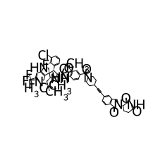 COc1cc(C(=O)N2CCC(C#Cc3ccc4c(c3)CN(C3CCC(=O)NC3=O)C4=O)CC2)ccc1NC(=O)[C@@H]1N[C@@H](CC(C)(C)C)[C@@]2(CNc3cc(C(F)(F)F)ncc32)[C@H]1c1cccc(Cl)c1F